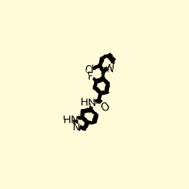 O=C(Nc1ccc2cn[nH]c2c1)c1ccc(-c2ncccc2Cl)c(F)c1